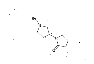 CC(C)N1CCC(N2CCCC2=O)C1